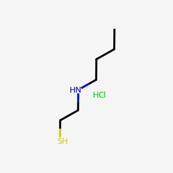 CCCCNCCS.Cl